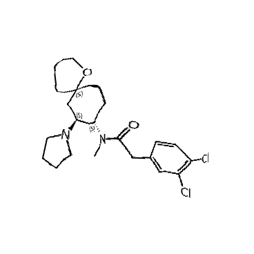 CN(C(=O)Cc1ccc(Cl)c(Cl)c1)[C@H]1CC[C@]2(CCCO2)C[C@@H]1N1CCCC1